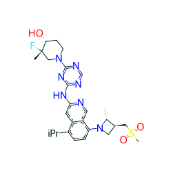 CC(C)c1ccc(N2C[C@H](CS(C)(=O)=O)[C@H]2C)c2cnc(Nc3ncnc(N4CC[C@@H](O)[C@@](C)(F)C4)n3)cc12